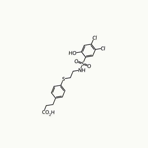 O=C(O)CCc1ccc(SCCNS(=O)(=O)c2cc(Cl)c(Cl)cc2O)cc1